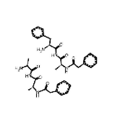 C[C@H](N)C(=O)NC(=O)[C@H](C)NC(=O)Cc1ccccc1.C[C@H](NC(=O)Cc1ccccc1)C(=O)NC(=O)[C@@H](N)Cc1ccccc1